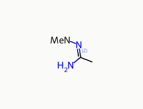 CN/N=C(/C)N